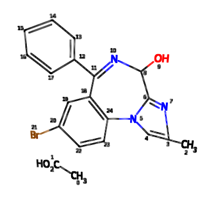 CC(=O)O.Cc1cn2c(n1)C(O)N=C(c1ccccc1)c1cc(Br)ccc1-2